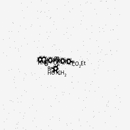 C=Cc1cc(C[C@@H](OC(=O)N2CCC(N3CCc4ccccc4NC3=O)CC2)C(=O)N2CCC(N3CCC(CC(=O)OCC)CC3)CC2)cc(Br)c1O